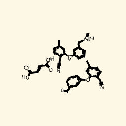 CNCc1cccc(Oc2cc(C)ccc2C#N)c1.Cc1ccc(C#N)c(Oc2cccc(C=O)c2)c1.O=C(O)C=CC(=O)O